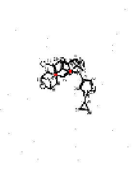 CC(C)(C)OC(=O)N1CC2OC(C1)N2c1cc2c(cnn2-c2cnn(C3CC3)c2)cc1Cl